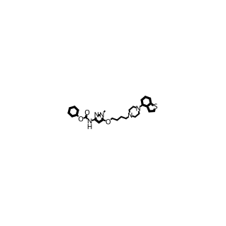 Cn1nc(NC(=O)Oc2ccccc2)cc1OCCCCN1CCN(c2cccc3sccc23)CC1